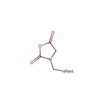 CCCCCCN1CC(=O)OC1=O